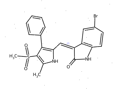 Cc1[nH]c(/C=C2\C(=O)Nc3ccc(Br)cc32)c(-c2ccccc2)c1S(C)(=O)=O